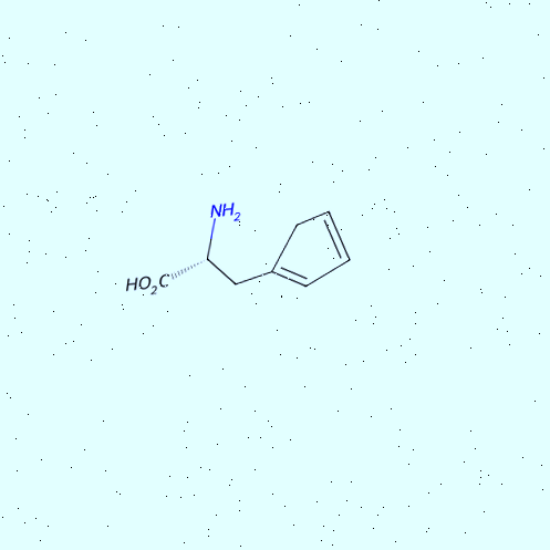 N[C@H](CC1=CC=CC1)C(=O)O